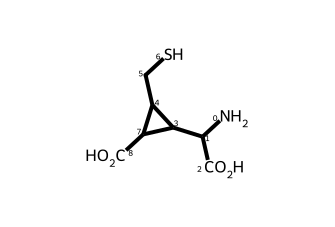 NC(C(=O)O)C1C(CS)C1C(=O)O